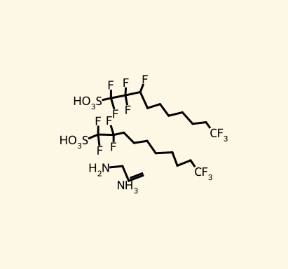 C=CCN.N.O=S(=O)(O)C(F)(F)C(F)(F)C(F)CCCCCCC(F)(F)F.O=S(=O)(O)C(F)(F)C(F)(F)CCCCCCCC(F)(F)F